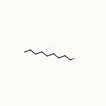 CCCCCCCCCO.[2H]